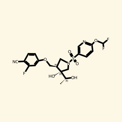 C[C@@H](O)[C@]1(O)CN(S(=O)(=O)c2ccc(OC(F)F)nc2)C[C@@H]1COc1ccc(C#N)c(F)c1